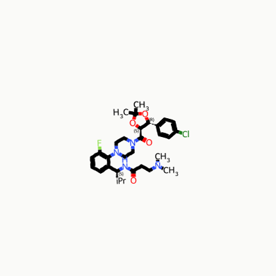 CC(C)[C@H](NC(=O)CCN(C)C)c1cccc(F)c1N1CCN(C(=O)[C@H]2OC(C)(C)O[C@@H]2c2ccc(Cl)cc2)CC1